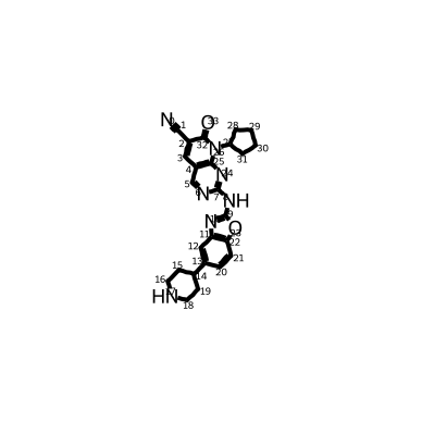 N#Cc1cc2cnc(Nc3nc4cc(C5CCNCC5)ccc4o3)nc2n(C2CCCC2)c1=O